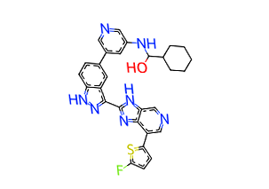 OC(Nc1cncc(-c2ccc3[nH]nc(-c4nc5c(-c6ccc(F)s6)cncc5[nH]4)c3c2)c1)C1CCCCC1